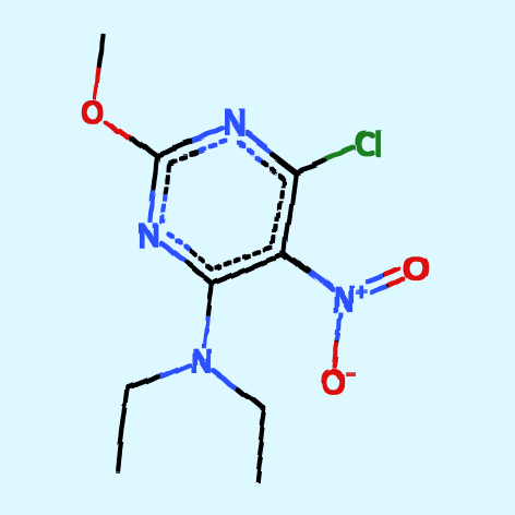 CCN(CC)c1nc(OC)nc(Cl)c1[N+](=O)[O-]